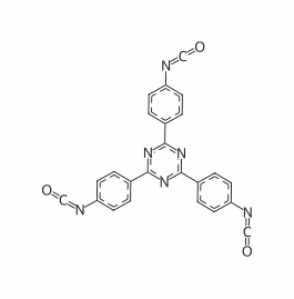 O=C=Nc1ccc(-c2nc(-c3ccc(N=C=O)cc3)nc(-c3ccc(N=C=O)cc3)n2)cc1